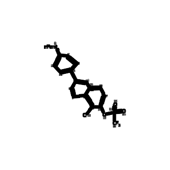 CCCCCc1ccc(-c2ccc3c(Cl)c(OS(=O)(=O)C(F)(F)F)ccc3c2)cc1